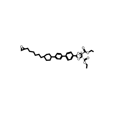 CCOC(=O)[C@@H]1OC(c2ccc(-c3ccc(C4CCC(CCCCCCC5CO5)CC4)cc3)cc2)O[C@H]1C(=O)OCC